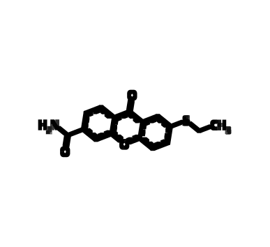 CCSc1ccc2oc3cc(C(N)=O)ccc3c(=O)c2c1